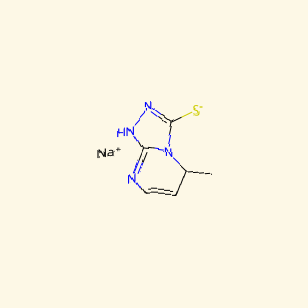 CC1C=CN=C2NN=C([S-])N21.[Na+]